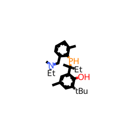 CCN(C)Cc1cccc(C)c1PC(C)(CC)c1cc(C)cc(C(C)(C)C)c1O